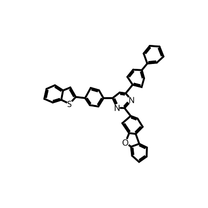 c1ccc(-c2ccc(-c3cc(-c4ccc(-c5cc6ccccc6s5)cc4)nc(-c4ccc5c(c4)oc4ccccc45)n3)cc2)cc1